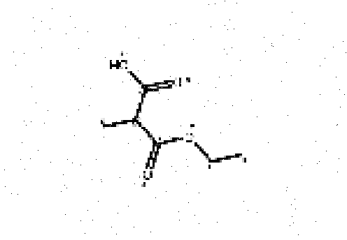 CCOC(=O)[C](C)C(=O)O